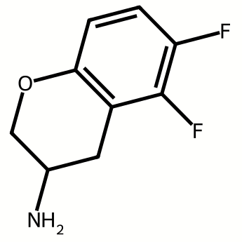 NC1COc2ccc(F)c(F)c2C1